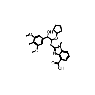 COc1cc([C@@H](O)[C@H](Cc2nc3c(C(=O)O)cccc3n2C)OC2CCCC2)cc(OC)c1C